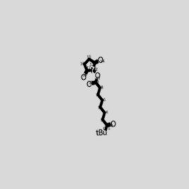 CC(C)(C)C(=O)CCCCCCC(=O)ON1C(=O)CCC1=O